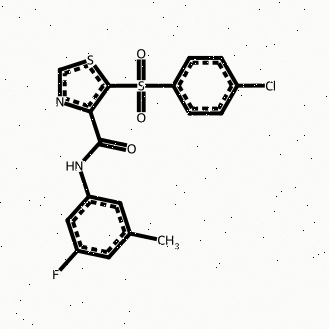 Cc1cc(F)cc(NC(=O)c2ncsc2S(=O)(=O)c2ccc(Cl)cc2)c1